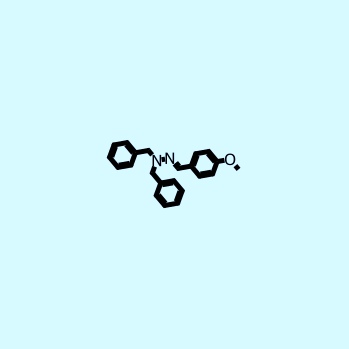 COc1ccc(C=NN(Cc2ccccc2)Cc2ccccc2)cc1